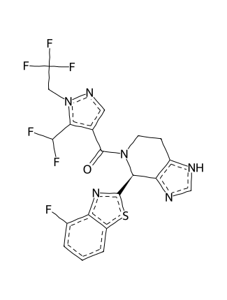 O=C(c1cnn(CC(F)(F)F)c1C(F)F)N1CCc2[nH]cnc2[C@H]1c1nc2c(F)cccc2s1